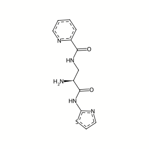 N[C@@H](CNC(=O)c1ccccn1)C(=O)Nc1nccs1